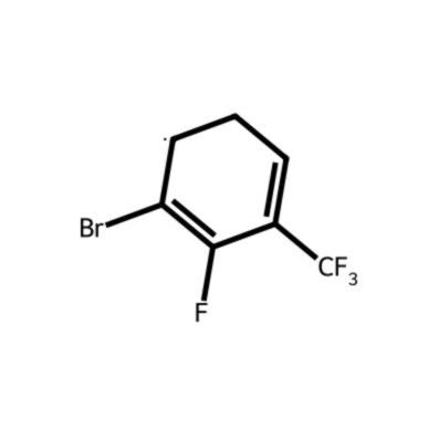 FC1=C(Br)[CH]CC=C1C(F)(F)F